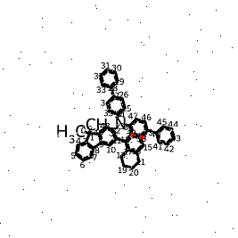 CC1(C)c2ccccc2-c2cc(-c3cccc4c3CCCC4)c(N(c3ccc(-c4ccccc4)cc3)c3ccc(-c4ccccc4)cc3)cc21